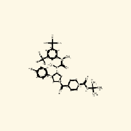 CN(C(=O)N(C)[C@@H]1CN(C(=O)C2CCN(C(=O)OC(C)(C)C)CC2)C[C@H]1c1ccc(F)cc1)c1cc(C(F)(F)F)cc(C(F)(F)F)c1